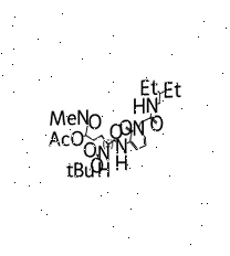 CCC(CC)CNC(=O)Cn1cccc(NC(=O)[C@H](CCC(OC(C)=O)C(=O)NC)NC(=O)OC(C)(C)C)c1=O